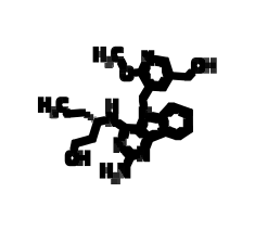 CCC[C@@H](CCO)Nc1nc(N)nc2c3ccccc3n(Cc3cc(CO)cnc3OC)c12